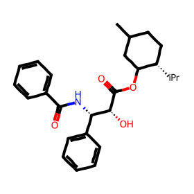 CC1CC[C@H](C(C)C)C(OC(=O)[C@H](O)[C@@H](NC(=O)c2ccccc2)c2ccccc2)C1